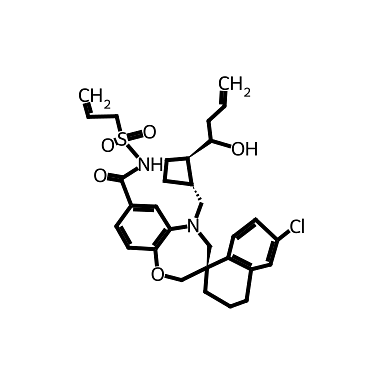 C=CCC(O)[C@@H]1CC[C@H]1CN1C[C@@]2(CCCc3cc(Cl)ccc32)COc2ccc(C(=O)NS(=O)(=O)CC=C)cc21